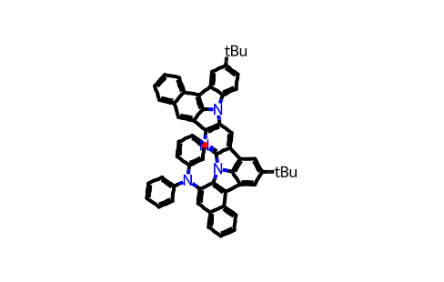 CC(C)(C)c1ccc2c(c1)c1c3ccccc3cc3c4nc5c(cc4n2c31)c1cc(C(C)(C)C)cc2c3c4ccccc4cc(N(c4ccccc4)c4ccccc4)c3n5c12